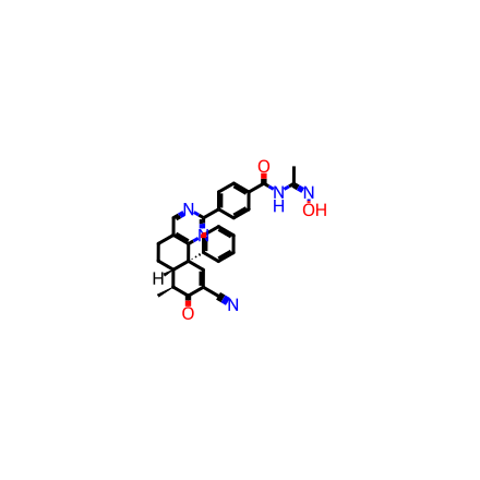 C/C(=N/O)NC(=O)c1ccc(-c2ncc3c(n2)[C@@]2(c4ccccc4)C=C(C#N)C(=O)[C@@H](C)[C@@H]2CC3)cc1